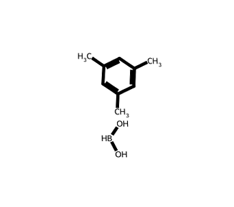 Cc1cc(C)cc(C)c1.OBO